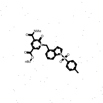 CCCCOC(=O)c1cc(C(=O)NC)c(=O)n(Cc2cccc3c2ccn3S(=O)(=O)c2ccc(C)cc2)c1